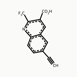 C#Cc1ccc2nc(C(F)(F)F)c(C(=O)O)cc2c1